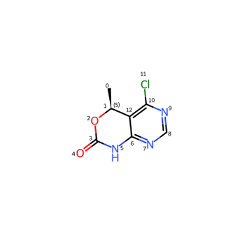 C[C@@H]1OC(=O)Nc2ncnc(Cl)c21